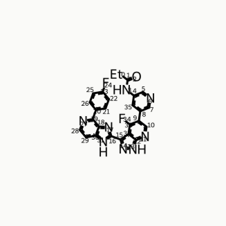 CCC(=O)Nc1cncc(-c2cnc3[nH]nc(-c4nc5c(-c6ccc(F)cc6)nccc5[nH]4)c3c2F)c1